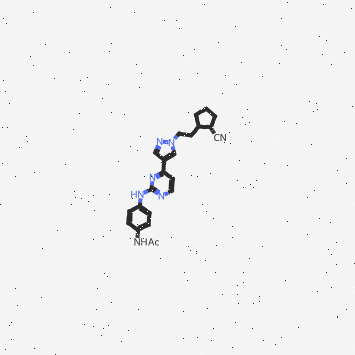 CC(=O)Nc1ccc(Nc2nccc(-c3cnn(CCC4CCCC4C#N)c3)n2)cc1